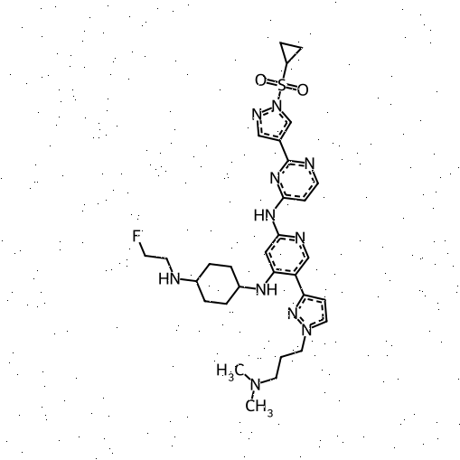 CN(C)CCCn1ccc(-c2cnc(Nc3ccnc(-c4cnn(S(=O)(=O)C5CC5)c4)n3)cc2NC2CCC(NCCF)CC2)n1